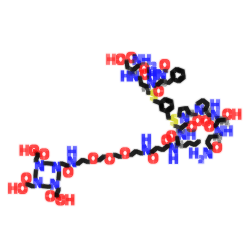 CCCC[C@H](NC(=O)CCC(=O)NCCCOCCOCCOCCCNC(=O)CN1CCN(CC(=O)O)CCN(CC(=O)O)CCN(CC(=O)O)CC1)C(=O)N[C@@H](CSCc1cccc(CSC[C@@H](CC(=O)N[C@@H](CC(=O)O)C(N)=O)NC(=O)[C@H](Cc2ccccc2)NC=O)c1)C(=O)N1CCC[C@H]1C(=O)N1CCC[C@H]1C(=O)N[C@H](C(=O)N[C@H](C)CCC(N)=O)[C@@H](C)O